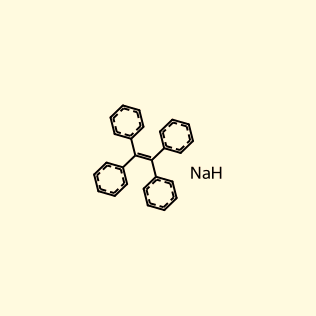 [NaH].c1ccc(C(=C(c2ccccc2)c2ccccc2)c2ccccc2)cc1